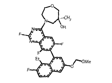 CCc1c(F)ccc2cc(OCOC)cc(-c3c(F)cc4c(N5CCOC[C@@](C)(O)C5)nc(F)nc4c3F)c12